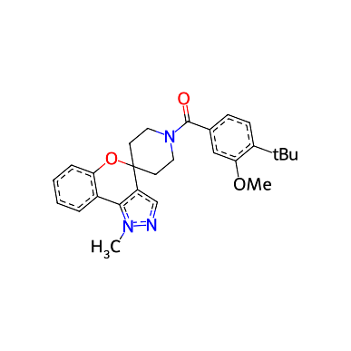 COc1cc(C(=O)N2CCC3(CC2)Oc2ccccc2-c2c3cnn2C)ccc1C(C)(C)C